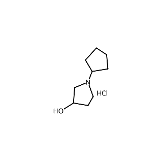 Cl.OC1CCN(C2CCCC2)C1